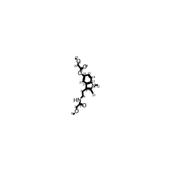 COCC(=O)NCCc1c(C)n(C)c2ccc(OC(=O)COC)cc12